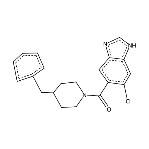 O=C(c1cc2nc[nH]c2cc1Cl)N1CCC(Cc2ccccc2)CC1